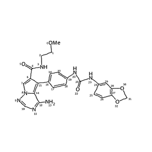 COCCNC(=O)c1cn2ncnc(N)c2c1-c1ccc(NC(=O)Nc2ccc3c(c2)OCO3)cc1